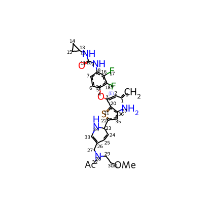 C=C/C=C(/Oc1ccc(NC(=O)NC2CC2)c(F)c1F)c1sc(C2C=CC(CN(CCOC)C(C)=O)=CN2)cc1N